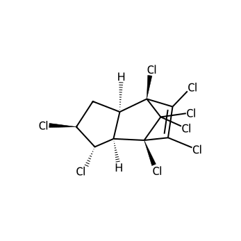 ClC1=C(Cl)[C@]2(Cl)[C@H]3[C@H](Cl)[C@@H](Cl)C[C@H]3[C@@]1(Cl)C2(Cl)Cl